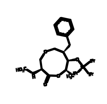 CC(C)[Si](O[C@@H]1[C@@H](Cc2ccccc2)COC[C@H](NC(=O)O)C(=O)O[C@H]1C)(C(C)C)C(C)C